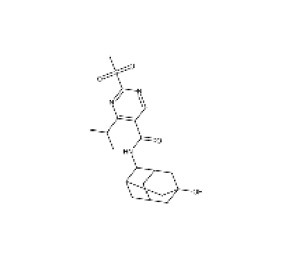 CC(C)c1nc(S(C)(=O)=O)ncc1C(=O)NC1C2CC3CC1CC(O)(C3)C2